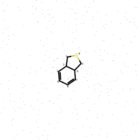 C1=CC2CSCC2C=C1